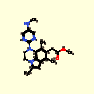 CNc1cnc(N2CCn3c(C)cc4c(C)c(CC(=O)OC)c(C)c2c43)nc1